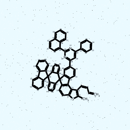 C=C/C=C\c1c(C)sc2ccc3c(c12)-c1ccc(-c2cc(-c4ccccc4)nc(-c4cccc5ccccc45)n2)cc1C31c2ccccc2C2(c3ccccc3-c3ccccc32)c2ccccc21